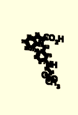 CS(=O)(=O)CCNc1cccc(Cn2c(C(=O)O)cc3ccccc32)c1